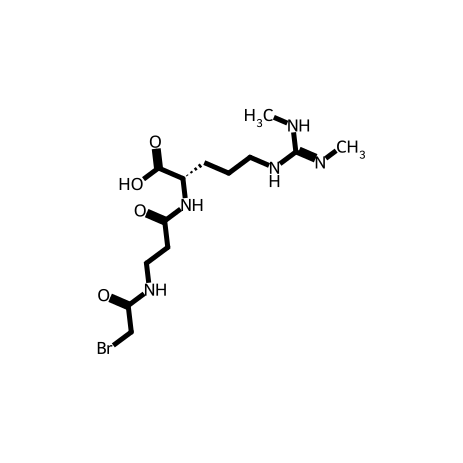 C/N=C(\NC)NCCC[C@H](NC(=O)CCNC(=O)CBr)C(=O)O